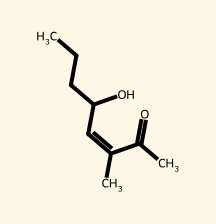 CCCC(O)C=C(C)C(C)=O